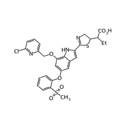 CCC(C(=O)O)C1CN=C(c2cc3cc(Oc4ccccc4S(C)(=O)=O)cc(OCc4cccc(Cl)n4)c3[nH]2)S1